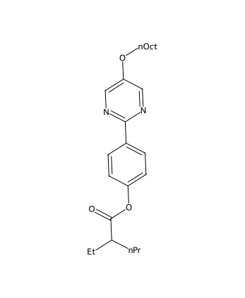 CCCCCCCCOc1cnc(-c2ccc(OC(=O)C(CC)CCC)cc2)nc1